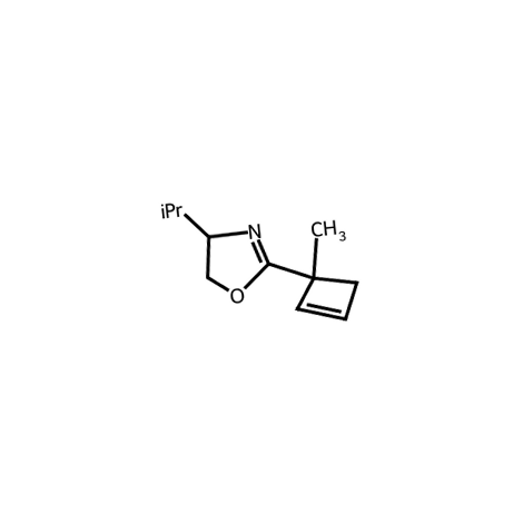 CC(C)C1COC(C2(C)C=CC2)=N1